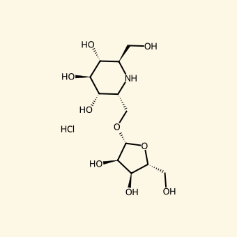 Cl.OC[C@H]1N[C@H](CO[C@@H]2O[C@H](CO)[C@@H](O)[C@H]2O)[C@H](O)[C@@H](O)[C@@H]1O